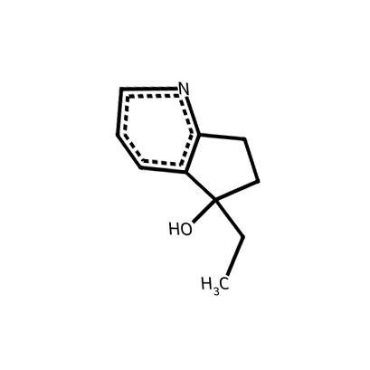 CCC1(O)CCc2ncccc21